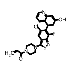 C=CC(=O)N1CCN(c2snc3c(F)c(C4CC(O)=Cc5ncccc54)c(Cl)cc23)CC1